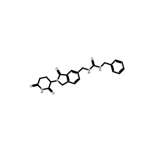 O=C1CCC(N2Cc3ccc(CNC(=O)NCc4ccccc4)cc3C2=O)C(=O)N1